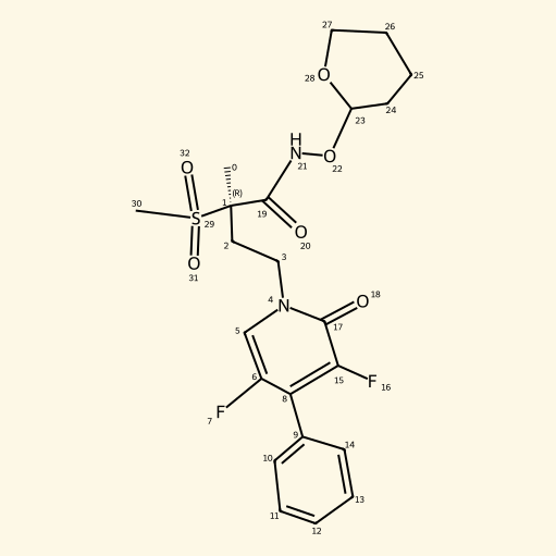 C[C@@](CCn1cc(F)c(-c2ccccc2)c(F)c1=O)(C(=O)NOC1CCCCO1)S(C)(=O)=O